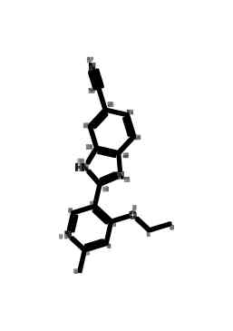 CCOc1cc(C)ncc1-c1nc2ccc(C#N)cc2[nH]1